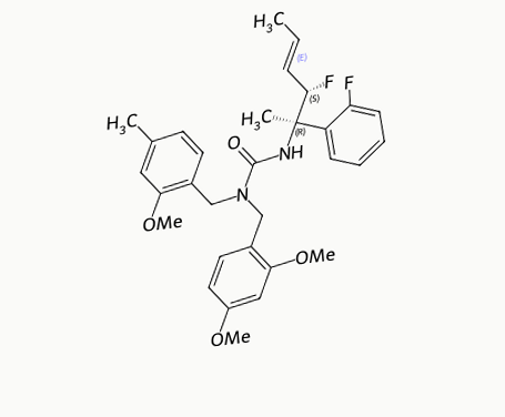 C/C=C/[C@H](F)[C@](C)(NC(=O)N(Cc1ccc(C)cc1OC)Cc1ccc(OC)cc1OC)c1ccccc1F